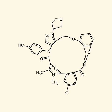 Cc1c2cc(n1C)-c1cc(Cl)ccc1C(=O)N1CCc3c(cccc3OCCc3c(cnn3C3CCOC3)N(c3ccc(O)cc3)C2=O)C1